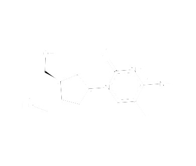 Cc1cn(C2C[C@H](CO)[C@@H](CO)C2)c(=O)nc1N